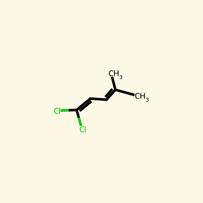 CC(C)=CC=C(Cl)Cl